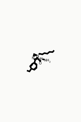 CCCCCCCn1cnc(C2=CC=CC(CC)C=C2)c1C(=O)NN